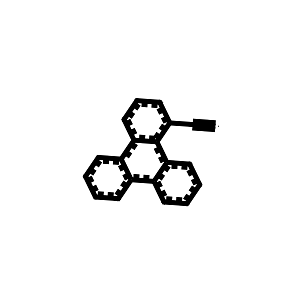 [C]#Cc1[c]ccc2c3ccccc3c3ccccc3c12